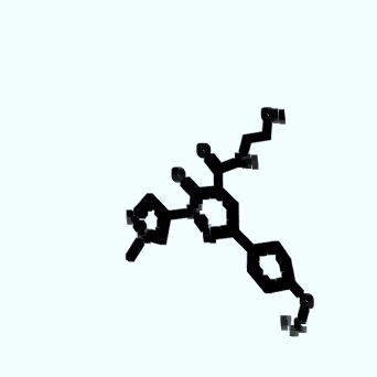 Cn1cc(-n2nc(-c3ccc(OC(F)(F)F)cc3)cc(C(=O)NCCO)c2=O)cn1